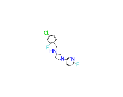 Fc1ccc(N2CC[C@H](NCc3ccc(Cl)cc3F)C2)cn1